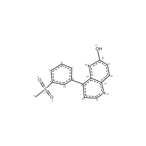 CS(=O)(=O)c1cccc(-c2ccnc3ccc(O)nc23)c1